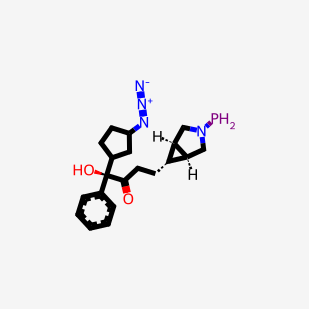 [N-]=[N+]=NC1CCC([C@](O)(C(=O)CC[C@@H]2[C@H]3CN(P)C[C@@H]23)c2ccccc2)C1